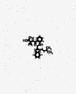 CC(C)CCn1c(CNc2ccccc2C(=O)NC2(C(=O)O)CC2)nc2ccccc21